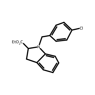 CCOC(=O)C1Cc2ccccc2N1Cc1ccc(Cl)cc1